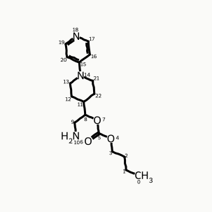 CCCCOC(=O)OC(CN)C1CCN(c2ccncc2)CC1